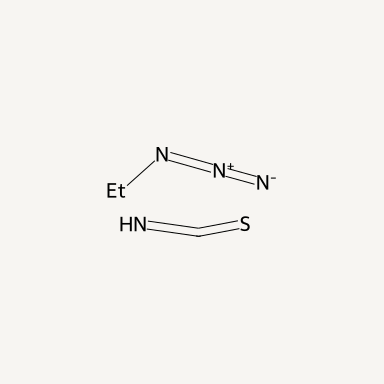 CCN=[N+]=[N-].N=C=S